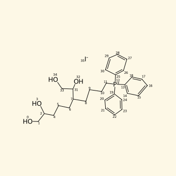 OCC(O)CCCC(CCCC[P+](c1ccccc1)(c1ccccc1)c1ccccc1)C(O)CO.[I-]